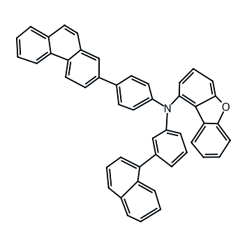 c1cc(-c2cccc3ccccc23)cc(N(c2ccc(-c3ccc4c(ccc5ccccc54)c3)cc2)c2cccc3oc4ccccc4c23)c1